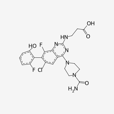 NC(=O)N1CCN(c2nc(NCCC(=O)O)nc3c(F)c(-c4c(O)cccc4F)c(Cl)cc23)CC1